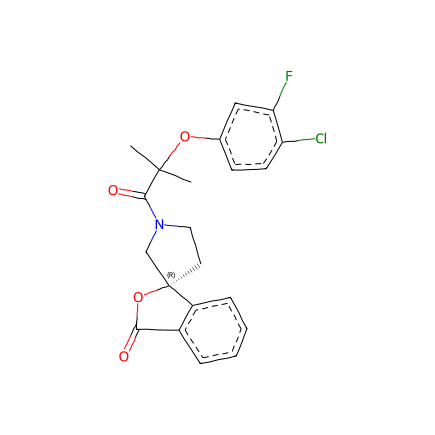 CC(C)(Oc1ccc(Cl)c(F)c1)C(=O)N1CC[C@@]2(C1)OC(=O)c1ccccc12